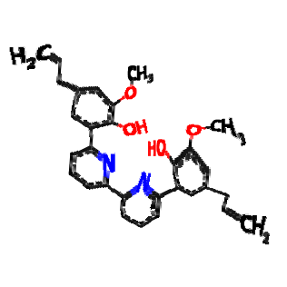 C=CCc1cc(OC)c(O)c(-c2cccc(-c3cccc(-c4cc(CC=C)cc(OC)c4O)n3)n2)c1